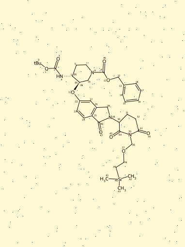 CC(C)(C)OC(=O)N[C@@H]1CCN(C(=O)OCc2ccccc2)C[C@H]1Oc1ccc2c(c1)CN(C1CCC(=O)N(COCC[Si](C)(C)C)C1=O)C2=O